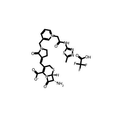 Cc1nnc(NC(=O)C[n+]2cccc(CN3CC/C(=C\C4=C(C(=O)[O-])N5C(=O)[C@@H](N)[C@H]5SC4)C3=O)c2)s1.O=C(O)C(F)(F)F